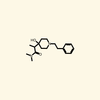 CC(C(=O)N(C)C)C1(O)CCN(CCc2ccccc2)CC1